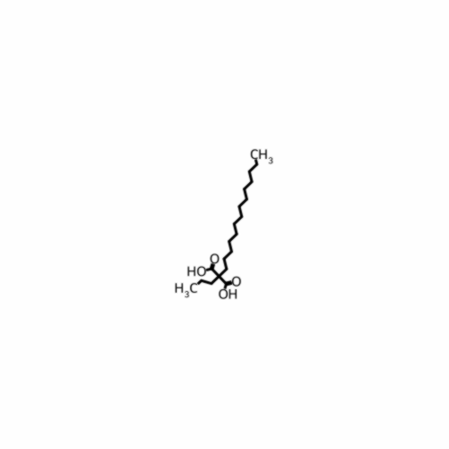 CCCCCCCCCCCCCCC(CCC)(C(=O)O)C(=O)O